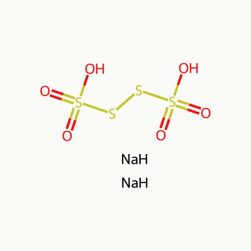 O=S(=O)(O)SSS(=O)(=O)O.[NaH].[NaH]